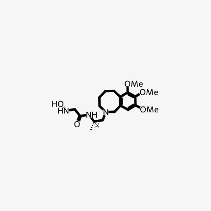 COc1cc2c(c(OC)c1OC)CCCCN(C[C@H](C)NC(=O)CNO)C2